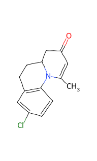 CC1=CC(=O)CC2CCc3cc(Cl)ccc3N12